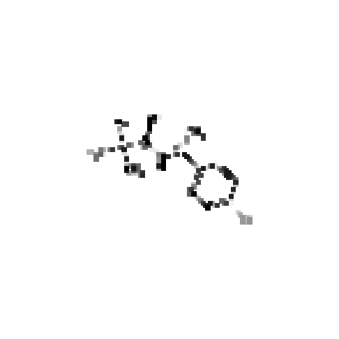 C[C@@H](N[S@+]([O-])C(C)(C)C)c1ccc(Br)cn1